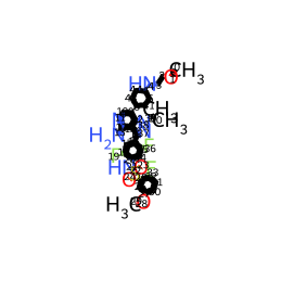 COCCN[C@H]1CC[C@H](c2cnc(N)c3c(-c4cc(F)c(NS(=O)(=O)c5cc(OC)ccc5F)cc4F)nn(C(C)C)c32)CC1